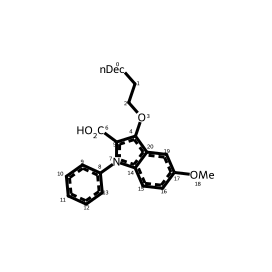 CCCCCCCCCCCCOc1c(C(=O)O)n(-c2ccccc2)c2ccc(OC)cc12